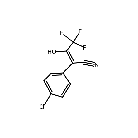 N#CC(=C(O)C(F)(F)F)c1ccc(Cl)cc1